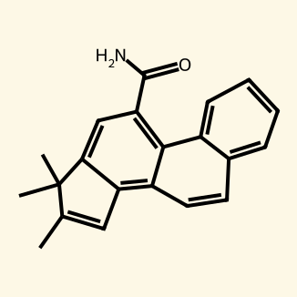 CC1=Cc2c(cc(C(N)=O)c3c2ccc2ccccc23)C1(C)C